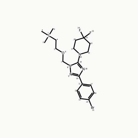 CS(C)(C)CCOCn1nc(-c2ccc(Br)cc2)nc1N1CCC(F)(F)CC1